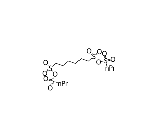 CCCS(=O)(=O)OS(=O)(=O)CCCCCCS(=O)(=O)OS(=O)(=O)CCC